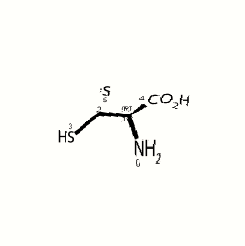 N[C@@H](CS)C(=O)O.[S]